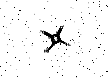 [2H]c1c(O)c(=O)c1=O